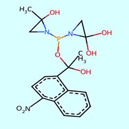 CC(O)(OP(N1CC1(C)O)N1CC1(O)O)c1ccc([N+](=O)[O-])c2ccccc12